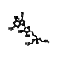 CCOP(=O)(CCC[C@H]1O[C@@H](n2cc(C#N)c3c(N)nc(C)nc32)[C@H](O)[C@@H]1O)OCC